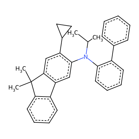 CC(C)N(c1ccccc1-c1ccccc1)c1cc2c(cc1C1CC1)C(C)(C)c1ccccc1-2